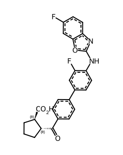 O=C(O)[C@@H]1CCC[C@H]1C(=O)c1ccc(-c2ccc(Nc3nc4ccc(F)cc4o3)c(F)c2)cc1